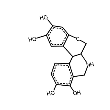 Oc1cc2c(cc1O)C1c3ccc(O)c(O)c3CNC1CC2